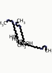 CC/C=C\C/C=C\CCCCCCCCC(O)CNCCN(C)CCN(CC(O)CCCCCCCC/C=C\C/C=C\CC)CC(O)CCCCCCCC/C=C\C/C=C\CC